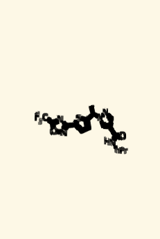 CCCNC(=O)c1cnn(C(C)c2ccc(-c3noc(C(F)(F)F)n3)s2)c1